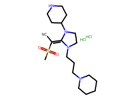 CS(=O)(=O)C(C#N)=C1N(CCCN2CCCCC2)CCN1C1CCNCC1.Cl.Cl